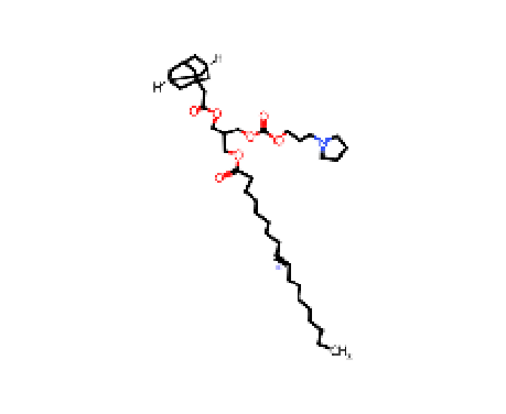 CCCCCCCC/C=C/CCCCCCCC(=O)OCC(COC(=O)CC12CC3C[C@H](C1)C[C@@H](C3)C2)COC(=O)OCCCN1CCCC1